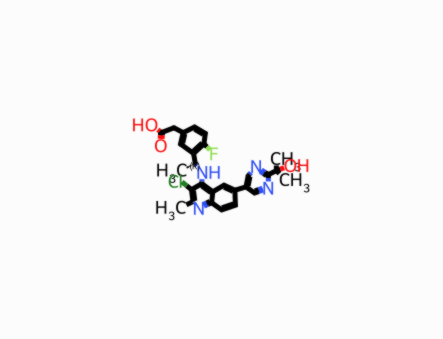 Cc1nc2ccc(-c3cnc(C(C)(C)O)nc3)cc2c(N[C@H](C)c2cc(CC(=O)O)ccc2F)c1Cl